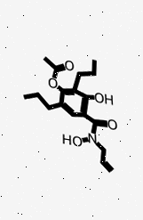 C=CCN(O)C(=O)c1cc(CCC)c(OC(C)=O)c(CCC)c1O